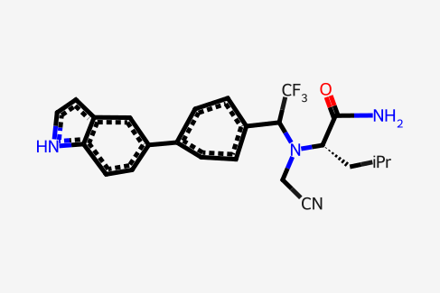 CC(C)C[C@@H](C(N)=O)N(CC#N)C(c1ccc(-c2ccc3[nH]ccc3c2)cc1)C(F)(F)F